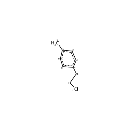 Cc1ccc([CH]CCl)cc1